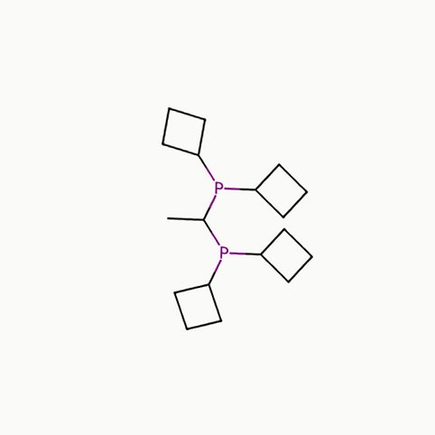 CC(P(C1CCC1)C1CCC1)P(C1CCC1)C1CCC1